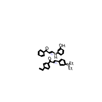 C=Cc1ccc(C(=O)/C=C/c2ccc(N(CC)CC)cc2)cc1.O=C(/C=C/Nc1cccc(O)c1)c1ccccc1